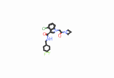 O=C(NCC1CCC(F)(F)CC1)c1cn(CC(=O)N2CCC2)c2cccc(Cl)c12